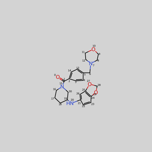 O=C(c1ccc(CN2CCOCC2)cc1)N1CCCC(Nc2ccc3c(c2)OCO3)C1